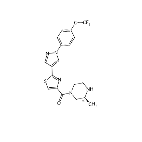 C[C@H]1CN(C(=O)c2csc(-c3cnn(-c4ccc(OC(F)(F)F)cc4)c3)n2)CCN1